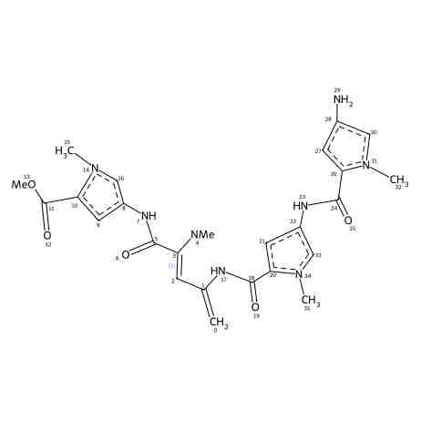 C=C(/C=C(\NC)C(=O)Nc1cc(C(=O)OC)n(C)c1)NC(=O)c1cc(NC(=O)c2cc(N)cn2C)cn1C